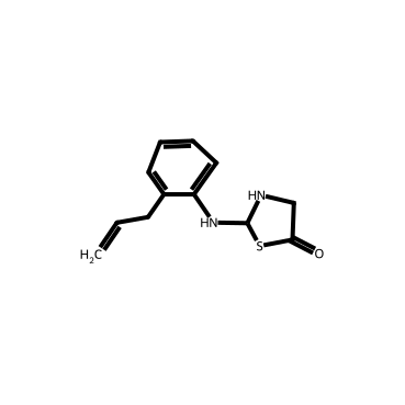 C=CCc1ccccc1NC1NCC(=O)S1